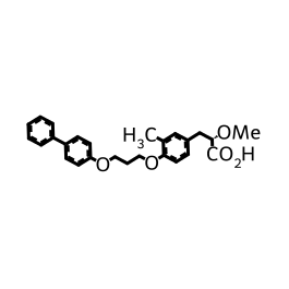 CO[C@@H](Cc1ccc(OCCCOc2ccc(-c3ccccc3)cc2)c(C)c1)C(=O)O